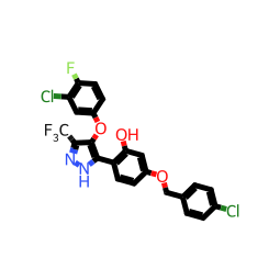 Oc1cc(OCc2ccc(Cl)cc2)ccc1-c1[nH]nc(C(F)(F)F)c1Oc1ccc(F)c(Cl)c1